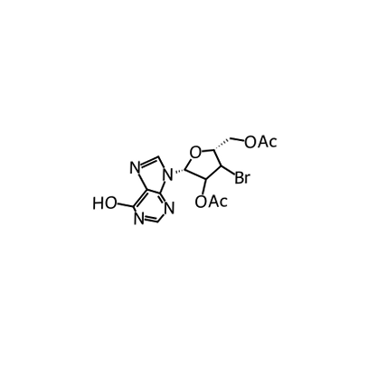 CC(=O)OC[C@H]1O[C@@H](n2cnc3c(O)ncnc32)C(OC(C)=O)C1Br